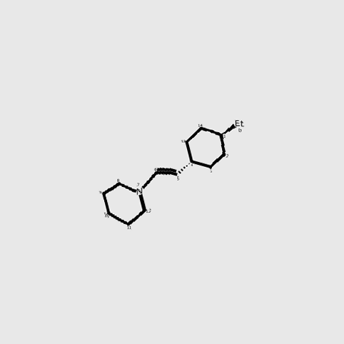 CC[C@H]1CC[C@H](/C=C/N2CCCCC2)CC1